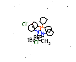 C1CCC(N2CCN(C3CCCCC3)C2=P(C2CCCCC2)(C2CCCCC2)C2CCCCC2)CC1.C=[C]=[Ru+2][C](C)(C)C.[Cl-].[Cl-]